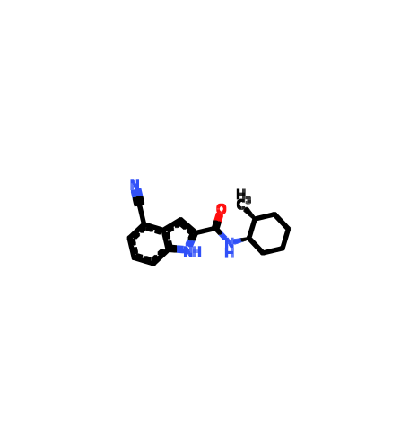 C[C@H]1CCCC[C@H]1NC(=O)c1cc2c(C#N)cccc2[nH]1